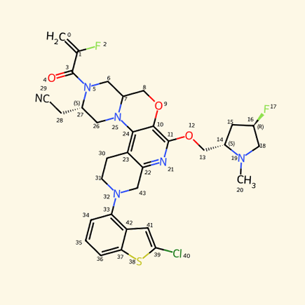 C=C(F)C(=O)N1CC2COc3c(OC[C@@H]4C[C@@H](F)CN4C)nc4c(c3N2C[C@@H]1CC#N)CCN(c1cccc2sc(Cl)cc12)C4